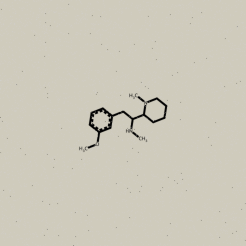 CNC(Cc1cccc(OC)c1)C1CCCCN1C